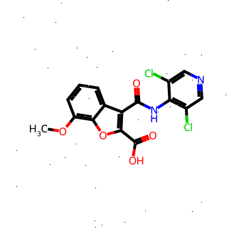 COc1cccc2c(C(=O)Nc3c(Cl)cncc3Cl)c(C(=O)O)oc12